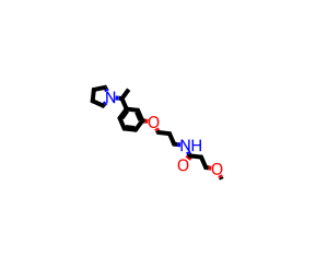 COCCC(=O)NCCCOc1cccc(C(C)N2CCCC2)c1